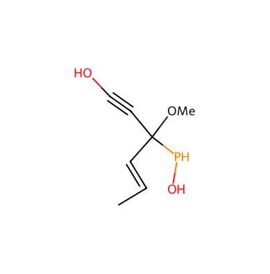 CC=CC(C#CO)(OC)PO